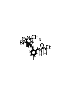 CCNC(=O)NCc1cc(F)ccc1COC1=NC(C)=NC(=O)C1(Br)C(C)C